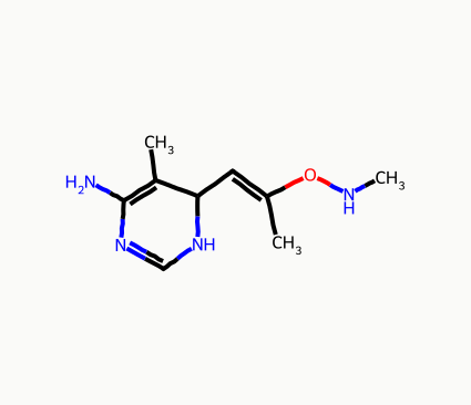 CNO/C(C)=C/C1NC=NC(N)=C1C